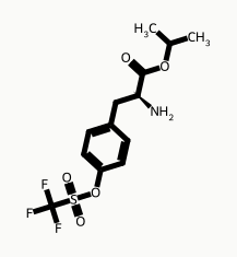 CC(C)OC(=O)[C@@H](N)Cc1ccc(OS(=O)(=O)C(F)(F)F)cc1